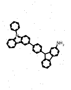 Nc1ccc2c(c1)C(c1ccc(-c3ccc4c(c3)c3ccccc3n4-c3ccccc3)cc1)c1ccccc1-2